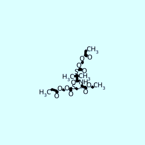 CCOC(=O)[C@H](CSC(=O)OCOC(=O)CC)NC(=O)C(C)(C)SC(=O)OCOC(=O)CC